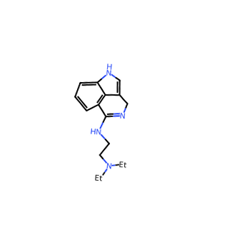 CCN(CC)CCNC1=NCc2c[nH]c3cccc1c23